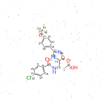 O=C(O)C[C@H](NC(=O)c1ccc(Cl)cc1)c1nc(-c2ccc(OC(F)(F)F)cc2)no1